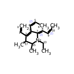 C=CC1=C(/C=C\C)/C(=C/C=C\C)N(CC)C(C)C1C